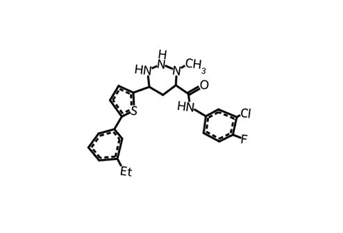 CCc1cccc(-c2ccc(C3CC(C(=O)Nc4ccc(F)c(Cl)c4)N(C)NN3)s2)c1